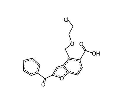 O=C(c1ccccc1)c1cc2c(COCCCl)c(C(=O)O)ccc2o1